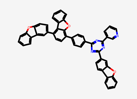 c1cncc(-c2nc(-c3ccc(-c4ccc(-c5ccc6oc7ccccc7c6c5)c5c4oc4ccccc45)cc3)nc(-c3ccc4c(c3)oc3ccccc34)n2)c1